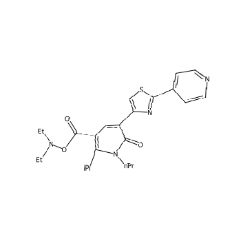 CCCn1c(C(C)C)c(C(=O)ON(CC)CC)cc(-c2csc(-c3ccncc3)n2)c1=O